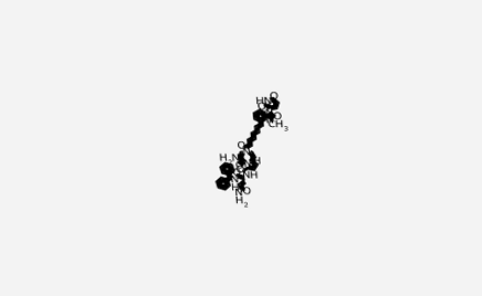 Cn1c(=O)n(C2CCC(=O)NC2=O)c2cccc(CCCCCCCC(=O)N3CC[C@H]4CC[C@@H](C(=O)N[C@@H](CCC(N)=O)C(=O)NC(c5ccccc5)c5ccccc5)N4C(=O)[C@@H](N)C3)c21